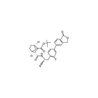 CC(C)(C)OC(=O)N1[C@@H]2CC[C@@H](C2)[C@H]1C(=O)N[C@H](C#N)Cc1ccc(-c2ccc3c(c2)COC3=O)cc1F